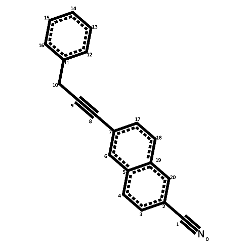 N#Cc1ccc2cc(C#CCc3ccccc3)ccc2c1